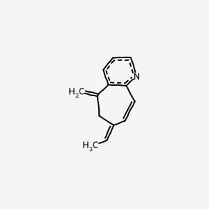 C=C1C/C(=C\C)C=Cc2ncccc21